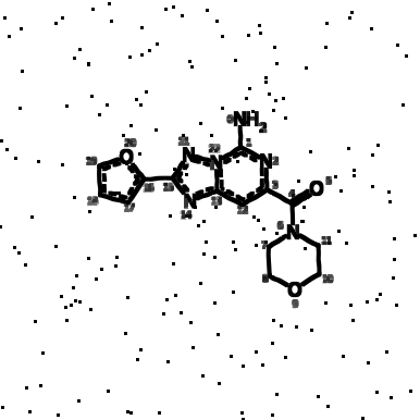 Nc1nc(C(=O)N2CCOCC2)cc2nc(-c3ccco3)nn12